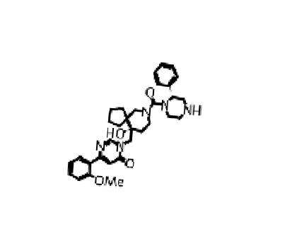 COc1ccccc1-c1cc(=O)n(C[C@]2(O)CCN(C(=O)N3CCNC[C@H]3c3ccccc3)CC23CCCC3)cn1